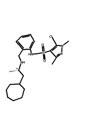 Cc1nn(C)c(Cl)c1S(=O)(=O)Nc1ccccc1CN[C@@H](C)CC1CCCCCC1